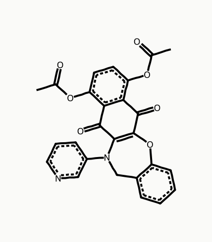 CC(=O)Oc1ccc(OC(C)=O)c2c1C(=O)C1=C(C2=O)N(c2cccnc2)Cc2ccccc2O1